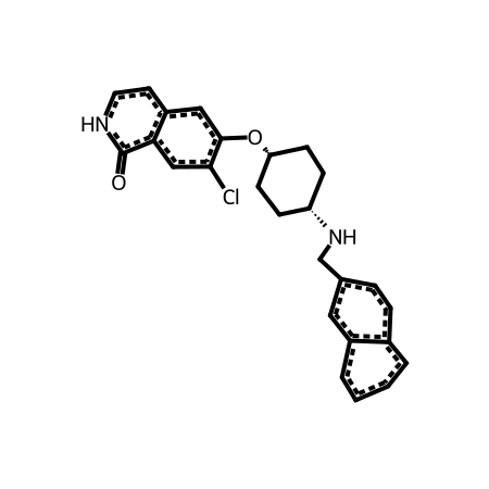 O=c1[nH]ccc2cc(O[C@H]3CC[C@@H](NCc4ccc5ccccc5c4)CC3)c(Cl)cc12